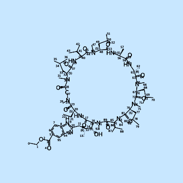 CCOC(=O)c1ccc2[nH]c(C[C@@H](C)[C@@H](O)[C@H]3C(=O)N[C@@H](CC)C(=O)N(C)CC(=O)N(C)[C@@H](CC(C)C)C(=O)N[C@@H](C(C)C)C(=O)N(C)[C@@H](CC(C)C)C(=O)N[C@@H](C)C(=O)N[C@H](C)C(=O)N(C)[C@@H](CC(C)C)C(=O)N(C)[C@@H](CC(C)C)C(=O)N(C)[C@@H](C(C)C)C(=O)N3C)nc2c1